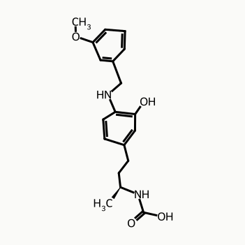 COc1cccc(CNc2ccc(CC[C@H](C)NC(=O)O)cc2O)c1